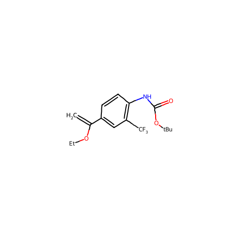 C=C(OCC)c1ccc(NC(=O)OC(C)(C)C)c(C(F)(F)F)c1